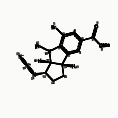 COC(=O)c1cc(Br)c2c(c1)[C@@H]1CC[C@@H](N=[N+]=[N-])[C@@H]1N2C(C)C